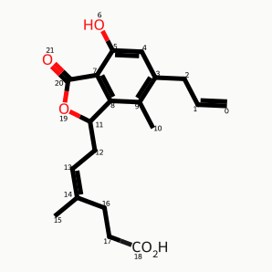 C=CCc1cc(O)c2c(c1C)C(CC=C(C)CCC(=O)O)OC2=O